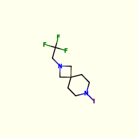 FC(F)(F)CN1CC2(CCN(I)CC2)C1